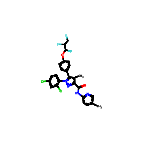 Cc1ccc(NC(=O)c2nn(-c3ccc(Cl)cc3Cl)c(-c3ccc(OC(F)C(F)CF)cc3)c2C)nc1